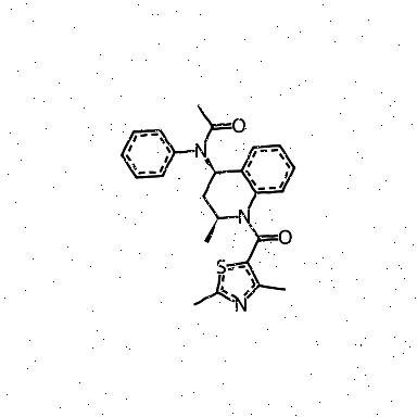 CC(=O)N(c1ccccc1)[C@@H]1C[C@H](C)N(C(=O)c2sc(C)nc2C)c2ccccc21